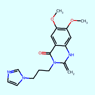 C=C1Nc2cc(OC)c(OC)cc2C(=O)N1CCCn1ccnc1